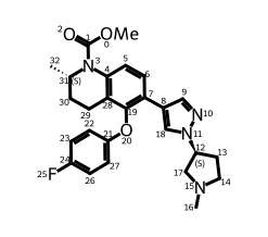 COC(=O)N1c2ccc(-c3cnn([C@H]4CCN(C)C4)c3)c(Oc3ccc(F)cc3)c2CC[C@@H]1C